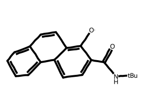 CC(C)(C)NC(=O)c1ccc2c(ccc3ccccc32)c1[O]